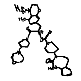 Cc1cc(C[C@@H](OC(=O)N2CCC(N3CCc4ccccc4NC3=O)CC2)C(=O)N2CCC(N3CCOCC3)CC2)cc2c1N(C)CCO2